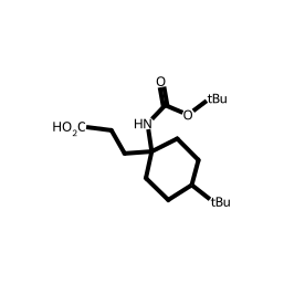 CC(C)(C)OC(=O)NC1(CCC(=O)O)CCC(C(C)(C)C)CC1